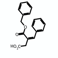 O=C(O)CC(=Cc1ccccc1)C(=O)OCc1ccccc1